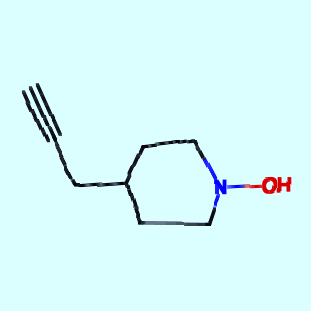 C#CCC1CCN(O)CC1